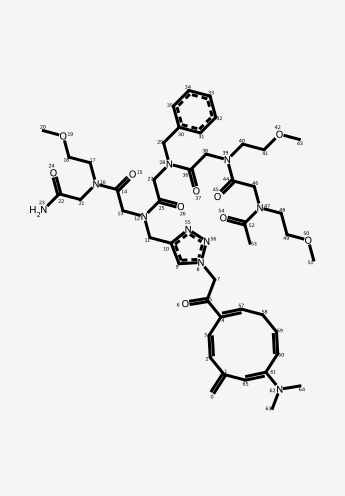 C=C1/C=C\C(C(=O)Cn2cc(CN(CC(=O)N(CCOC)CC(N)=O)C(=O)CN(Cc3ccccc3)C(=O)CN(CCOC)C(=O)CN(CCOC)C(C)=O)nn2)=C/C/C=C\C(N(C)C)=C/1